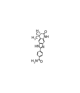 CC1(C)CC(=O)Nc2cc3nc(-c4ccc(C(N)=O)cc4)[nH]c3cc21